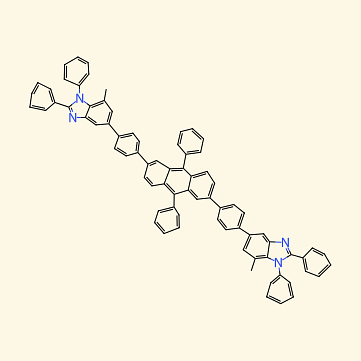 Cc1cc(-c2ccc(-c3ccc4c(-c5ccccc5)c5cc(-c6ccc(-c7cc(C)c8c(c7)nc(-c7ccccc7)n8-c7ccccc7)cc6)ccc5c(-c5ccccc5)c4c3)cc2)cc2nc(-c3ccccc3)n(-c3ccccc3)c12